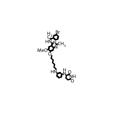 COc1cc2c(N[C@H](C)c3cccc(Br)c3)nc(C)nc2cc1OCCCCCCCNc1cccc(NC2CCC(=O)NC2=O)c1